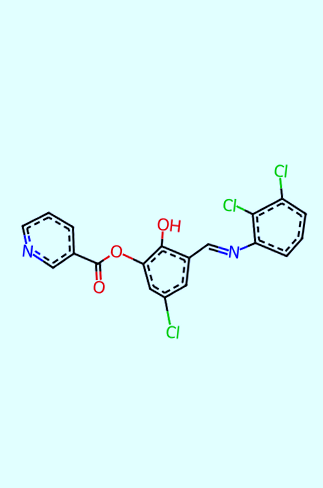 O=C(Oc1cc(Cl)cc(C=Nc2cccc(Cl)c2Cl)c1O)c1cccnc1